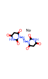 O=C1CC(=O)N(N=NN2C(=O)CC(=O)NC2=O)C(=O)N1.[Na]